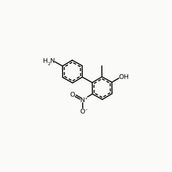 Cc1c(O)ccc([N+](=O)[O-])c1-c1ccc(N)cc1